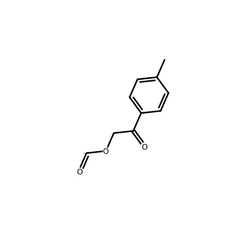 Cc1ccc(C(=O)CO[C]=O)cc1